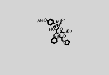 CC[C@H](C)CC(=O)N(NC(=O)CN1CCCC1)[C@@H](Cc1ccccc1)[C@H](O)CN(CC(C)C)S(=O)(=O)c1ccc(OC)cc1